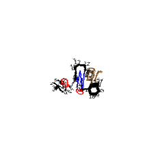 CC(C)(C)[Si](C)(C)OC[C@@H]1CCCCN1C(=O)c1ccccc1Br